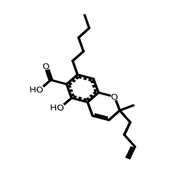 C=CCCC1(C)C=Cc2c(cc(CCCCC)c(C(=O)O)c2O)O1